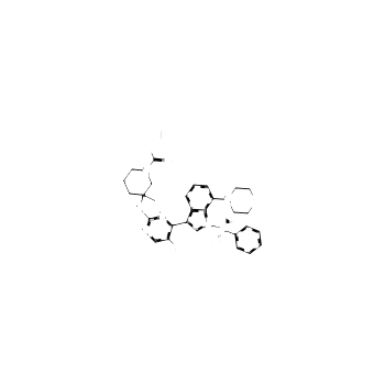 CC1(Nc2ncc(Cl)c(-c3cn(S(=O)(=O)c4ccccc4)c4c(N5CCSCC5)cccc34)n2)CCCN(C(=O)OC(C)(C)C)C1